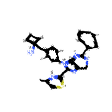 Cc1csc(-c2nc3cnc(-c4ccccc4)nc3n2-c2ccc(C3(N)CCC3)cc2)n1